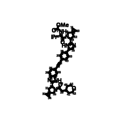 COC(=O)N[C@H](C(=O)N1CC2(CC2)C[C@H]1c1ncc(-c2ccc(C#Cc3ccc4nc([C@@H]5CC6(CC6)CN5C(=O)CC5CCOCC5)[nH]c4c3)cc2)[nH]1)C(C)C